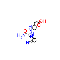 N#C[C@H]1CCC[C@@H]1n1cc(C(N)=O)c(Nc2ccc3c(c2)C=CB(O)O3)n1